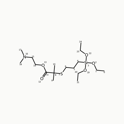 CCO[Si](CCCSC(C)(C)C(=O)OCCN(C)C)(OCC)OCC